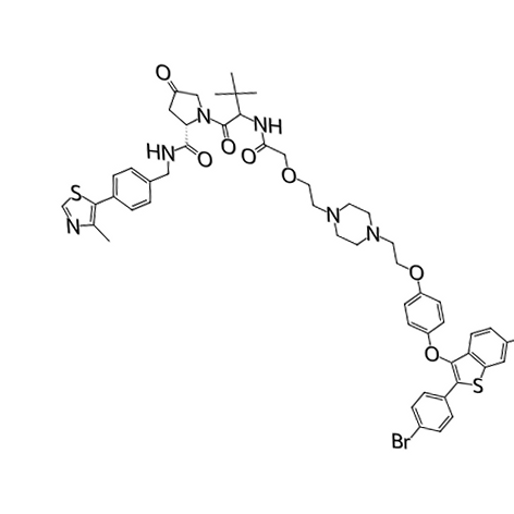 COc1ccc2c(Oc3ccc(OCCN4CCN(CCOCC(=O)NC(C(=O)N5CC(=O)C[C@H]5C(=O)NCc5ccc(-c6scnc6C)cc5)C(C)(C)C)CC4)cc3)c(-c3ccc(Br)cc3)sc2c1